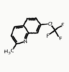 Cc1ccc2ccc(OC(F)(F)F)cc2n1